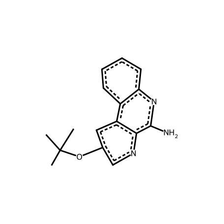 CC(C)(C)Oc1cnc2c(N)nc3ccccc3c2c1